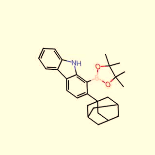 CC1(C)OB(c2c(C34CC5CC(CC(C5)C3)C4)ccc3c2[nH]c2ccccc23)OC1(C)C